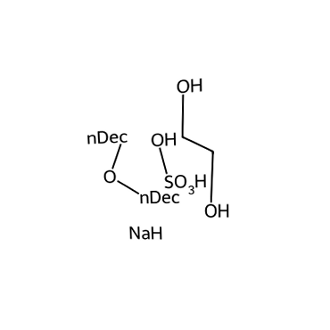 CCCCCCCCCCOCCCCCCCCCC.O=S(=O)(O)O.OCCO.[NaH]